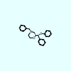 c1ccc(CN2CCO[C@H]([C@@H](Sc3ccccc3)c3ccccc3)C2)cc1